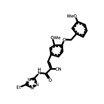 CCc1nnc(NC(=O)/C(C#N)=C/c2ccc(OCc3cccc(OC)c3)c(OC)c2)s1